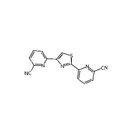 N#Cc1cccc(-c2csc(-c3cccc(C#N)n3)n2)n1